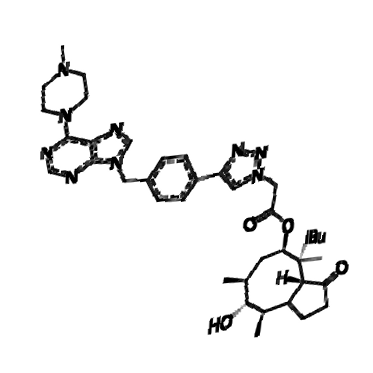 CCC(C)[C@]1(C)[C@@H]2C(=O)CCC2[C@@H](C)[C@H](O)[C@@H](C)C[C@H]1OC(=O)Cn1cc(-c2ccc(Cn3cnc4c(N5CCN(C)CC5)ncnc43)cc2)nn1